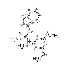 COc1cc(OC)cc(N(C)C(CN)Cc2csc3ccccc23)c1